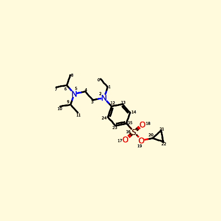 CCN(CCN(C(C)C)C(C)C)c1ccc(S(=O)(=O)OC2CC2)cc1